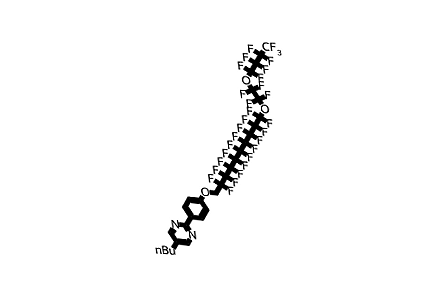 CCCCc1cnc(-c2ccc(OCC(F)(F)C(F)(F)C(F)(F)C(F)(F)C(F)(F)C(F)(F)C(F)(F)C(F)(F)C(F)(F)OC(F)(F)C(F)(F)OC(F)(F)C(F)(F)C(F)(F)C(F)(F)F)cc2)nc1